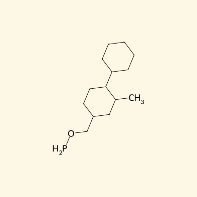 CC1CC(COP)CCC1C1CCCCC1